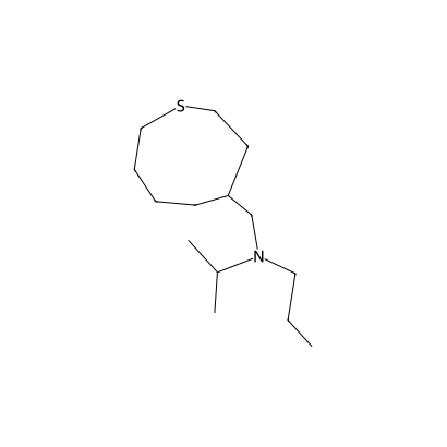 CCCN(CC1CCCCSCC1)C(C)C